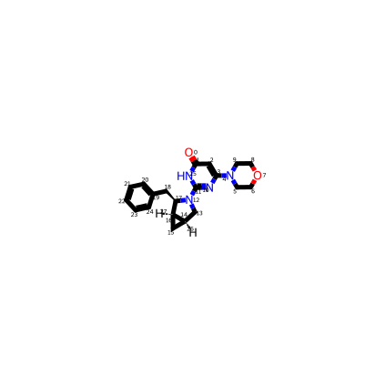 O=c1cc(N2CCOCC2)nc(N2C[C@H]3C[C@H]3[C@H]2Cc2ccccc2)[nH]1